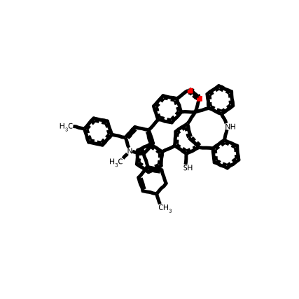 Cc1ccc(C2=CC(c3ccc4c(c3)C3(c5cc(-c6ccccc6)c(S)c(c5)-c5ccccc5Nc5ccccc53)c3ccccc3-4)=CC(C3=CCC(C)C=C3)N2C)cc1